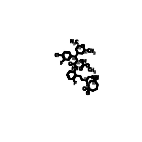 COC(=O)N[C@H](C(=O)Nc1cccc(F)c1CC[C@H]1CN[C@@H]2CCCS(=O)(=O)N1C2)[C@@H](c1ccc(Cl)c(F)c1)C1C[C@@H](C)O[C@@H](C)C1